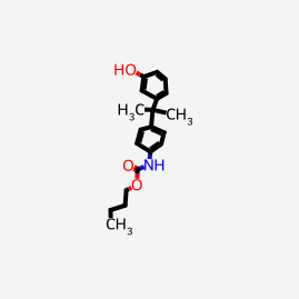 CCCCOC(=O)Nc1ccc(C(C)(C)c2cccc(O)c2)cc1